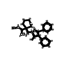 COC(C(=O)O)C1(Cn2nc(-c3ccccc3)c(-c3ccccc3)c2C)CCCCC1